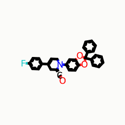 O=C=C1CC(c2ccc(F)cc2)=CCN1c1ccc2c(c1)OC(c1ccccc1)(c1ccccc1)O2